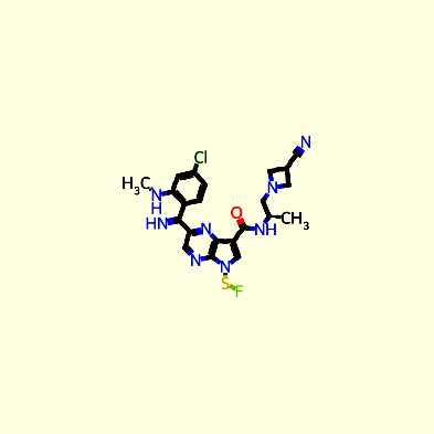 CNc1cc(Cl)ccc1C(=N)c1cnc2c(n1)c(C(=O)N[C@H](C)CN1CC(C#N)C1)cn2SF